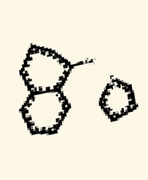 CC(=O)c1cccc2ccccc12.c1ccsc1